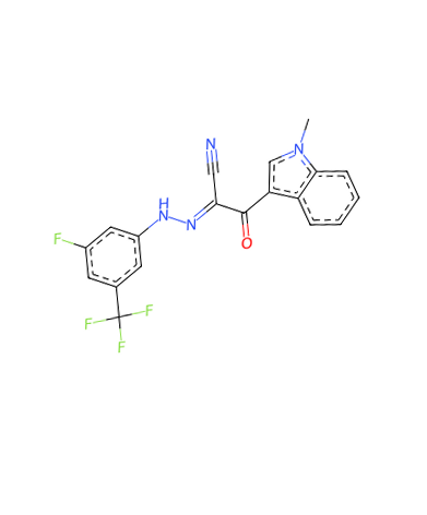 Cn1cc(C(=O)/C(C#N)=N/Nc2cc(F)cc(C(F)(F)F)c2)c2ccccc21